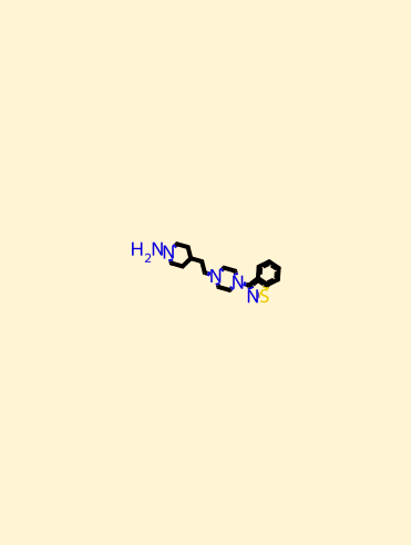 NN1CCC(CCN2CCN(c3nsc4ccccc34)CC2)CC1